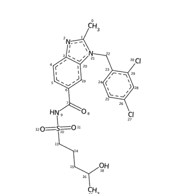 Cc1nc2ccc(C(=O)NS(=O)(=O)CCCC(C)O)cc2n1Cc1ccc(Cl)cc1Cl